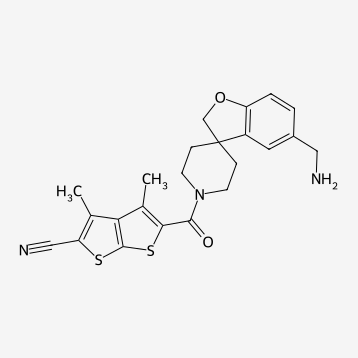 Cc1c(C#N)sc2sc(C(=O)N3CCC4(CC3)COc3ccc(CN)cc34)c(C)c12